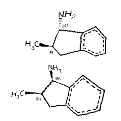 C[C@@H]1Cc2ccccc2[C@@H]1N.C[C@@H]1Cc2ccccc2[C@H]1N